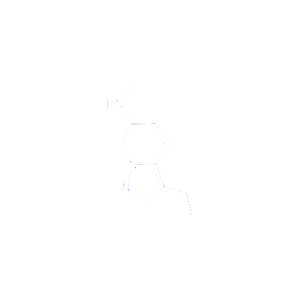 CCc1cnn2c1OCC(NC)C2